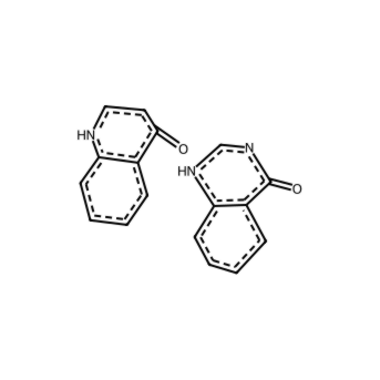 O=c1cc[nH]c2ccccc12.O=c1nc[nH]c2ccccc12